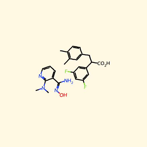 CN(C)c1ncccc1C(N)=NO.Cc1ccc(CC(C(=O)O)c2cc(F)cc(F)c2)cc1C